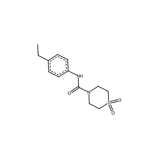 CCc1ccc(NC(=O)N2CCS(=O)(=O)CC2)cc1